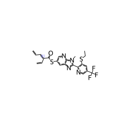 C=C/C=C(\C=C)C(=O)Sc1cnc2c(c1)nc(-c1ncc(C(F)(F)F)cc1SCC)n2C